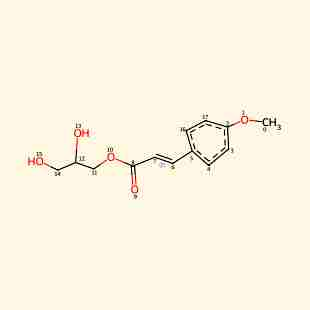 COc1ccc(/C=C/C(=O)OCC(O)CO)cc1